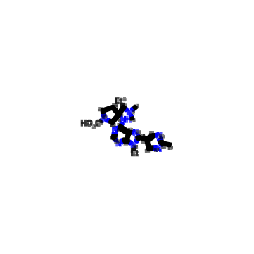 CCC(N(C)C)C1(Nc2ncnc3c2nc(-c2cnc(C)nc2)n3CC)CCN(C(=O)O)C1